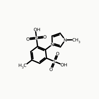 Cc1cc(S(=O)(=O)O)c(-[n+]2ccn(C)c2)c(S(=O)(=O)O)c1